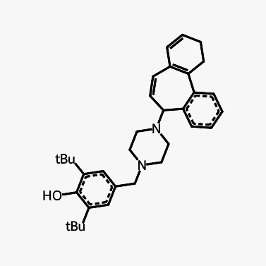 CC(C)(C)c1cc(CN2CCN(C3C=CC4=C(CCC=C4)c4ccccc43)CC2)cc(C(C)(C)C)c1O